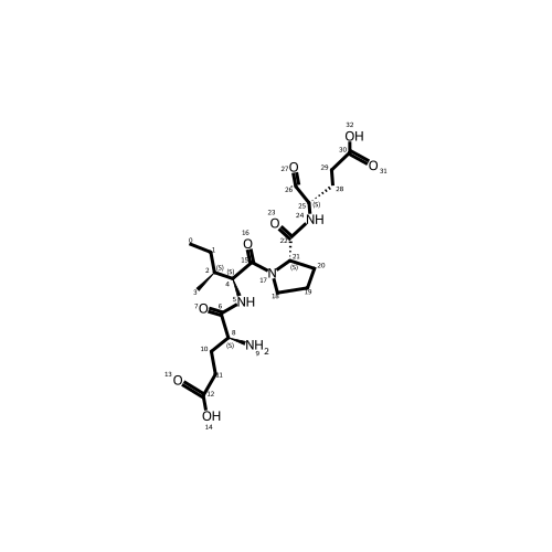 CC[C@H](C)[C@H](NC(=O)[C@@H](N)CCC(=O)O)C(=O)N1CCC[C@H]1C(=O)N[C@H]([C]=O)CCC(=O)O